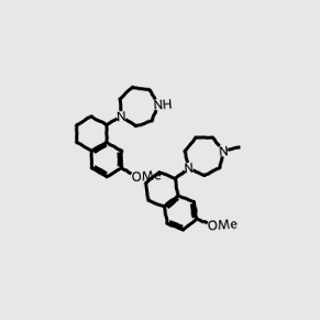 COc1ccc2c(c1)C(N1CCCN(C)CC1)CCC2.COc1ccc2c(c1)C(N1CCCNCC1)CCC2